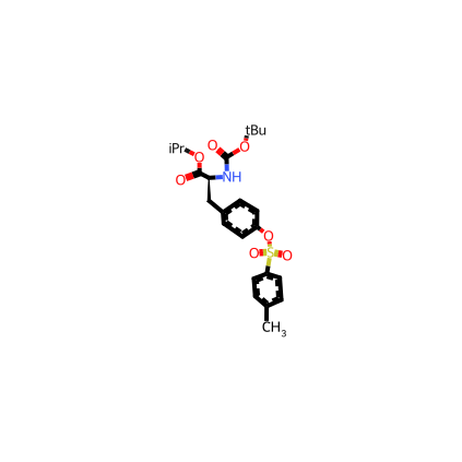 Cc1ccc(S(=O)(=O)Oc2ccc(C[C@H](NC(=O)OC(C)(C)C)C(=O)OC(C)C)cc2)cc1